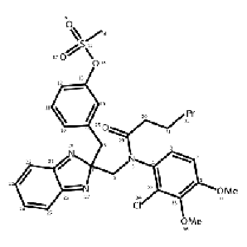 COc1ccc(N(CC2(Cc3cccc(OS(C)(=O)=O)c3)N=c3ccccc3=N2)C(=O)CCC(C)C)c(Cl)c1OC